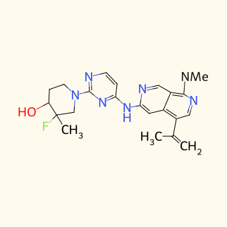 C=C(C)c1cnc(NC)c2cnc(Nc3ccnc(N4CCC(O)C(C)(F)C4)n3)cc12